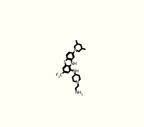 CC1CC(C)CN(c2ccc3c(c2)Nc2c(NC4CCN(CCN)CC4)cc(C(F)(F)F)cc2S3)C1